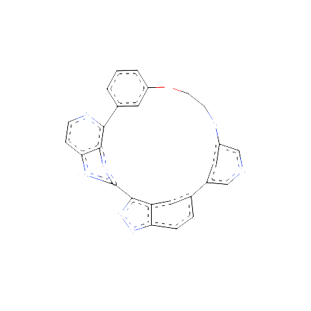 c1cc2cc(c1)-c1nccc3[nH]c(nc13)-c1n[nH]c3ccc(cc13)-c1cncc(c1)NCCO2